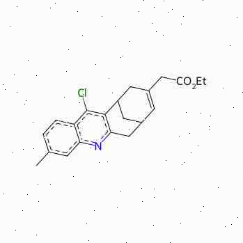 CCOC(=O)CC1=CC2Cc3nc4cc(C)ccc4c(Cl)c3C(C1)C2